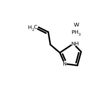 C=CCc1ncc[nH]1.P.[W]